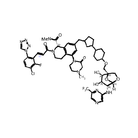 CNC(=O)[C@@H]1c2cc(CC3CCC(C4CCC(OC[C@@]56CO[C@@H](O5)[C@H](Nc5cncc(C(F)(F)F)n5)[C@@H](O)[C@H]6O)CC4)C3)cc(N3CCN(C)CC3=O)c2CCN1C(=O)/C=C/c1c(-n2cnnn2)ccc(Cl)c1F